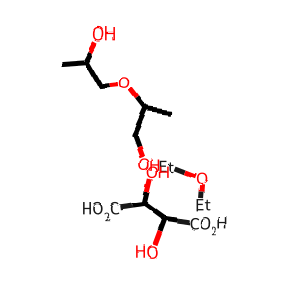 CC(O)COC(C)CO.CCOCC.O=C(O)C(O)C(O)C(=O)O